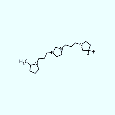 CC1CCCN1CCCN1[C]N(CCCN2CCC(F)(F)C2)CC1